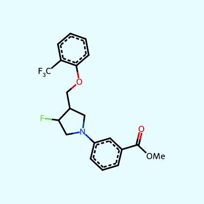 COC(=O)c1cccc(N2CC(F)C(COc3ccccc3C(F)(F)F)C2)c1